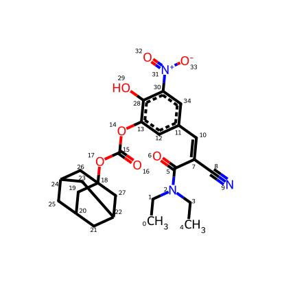 CCN(CC)C(=O)C(C#N)=Cc1cc(OC(=O)OC23CC4CC(CC(C4)C2)C3)c(O)c([N+](=O)[O-])c1